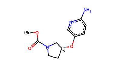 CC(C)(C)OC(=O)N1CC[C@@H](Oc2ccc(N)nc2)C1